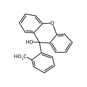 O=C(O)c1ccccc1C1(O)c2ccccc2Oc2ccccc21